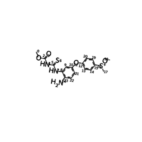 COC(=O)NC(=S)Nc1cc(Oc2ccc([S+](C)[O-])cc2)ccc1N